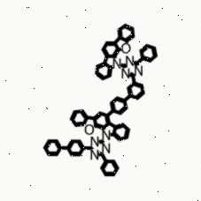 c1ccc(-c2ccc(-c3nc(-c4ccccc4)nc(-n4c5ccccc5c5c(-c6ccc(-c7cccc(-c8nc(-c9ccccc9)nc(-n9c%10ccccc%10c%10ccc%11c%12ccccc%12oc%11c%109)n8)c7)cc6)cc6c7ccccc7oc6c54)n3)cc2)cc1